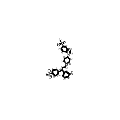 CS(=O)(=O)c1ccc([C@@H](CCN2CCC(n3cnc4cc(S(C)(=O)=O)ccc43)CC2)c2cccc(F)c2)cc1